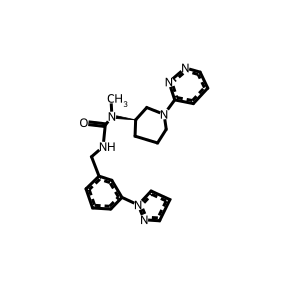 CN(C(=O)NCc1cccc(-n2cccn2)c1)[C@@H]1CCCN(c2cccnn2)C1